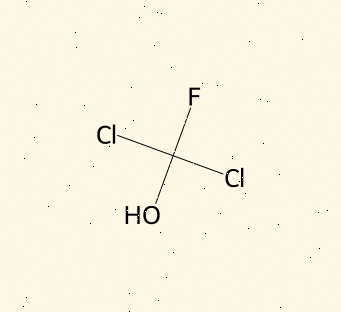 OC(F)(Cl)Cl